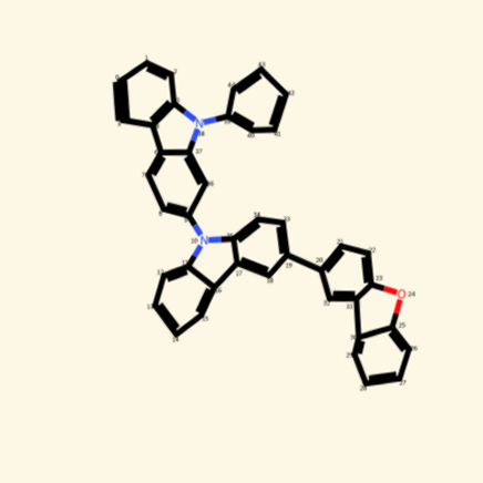 c1ccc2c(c#1)c1ccc(-n3c4ccccc4c4cc(-c5ccc6oc7ccccc7c6c5)ccc43)cc1n2-c1ccccc1